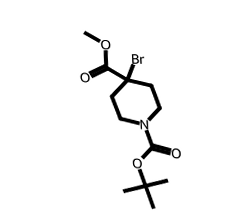 COC(=O)C1(Br)CCN(C(=O)OC(C)(C)C)CC1